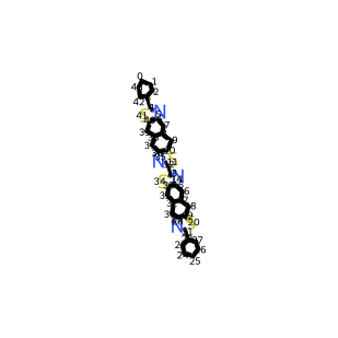 c1ccc(-c2nc3cc4cc5sc(-c6nc7cc8cc9sc(-c%10ccccc%10)nc9cc8cc7s6)nc5cc4cc3s2)cc1